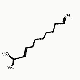 C=CCCCCCCC=CC(O)O